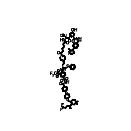 C=C(CCC(F)F)C1=C(CN2CCN(c3ccc(C(=O)NS(=O)(=O)c4ccc(N[C@H](CCN5CCN(C(=O)CCCCC(=O)N[C@H](C(=O)N6C[C@H](O)C[C@H]6C(=O)N[C@@H](C)c6ccc(-c7scnc7C)cc6)C(C)(C)C)CC5)CSc5ccccc5)c(S(=O)(=O)C(F)(F)F)c4)cc3)CC2)CCC(C)(C)C1